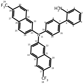 Nc1ccccc1-c1ccc(N(c2ccc3cc(C(F)(F)F)ccc3c2)c2ccc3cc(C(F)(F)F)ccc3c2)cc1